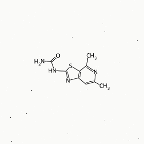 Cc1cc2nc(NC(N)=O)sc2c(C)n1